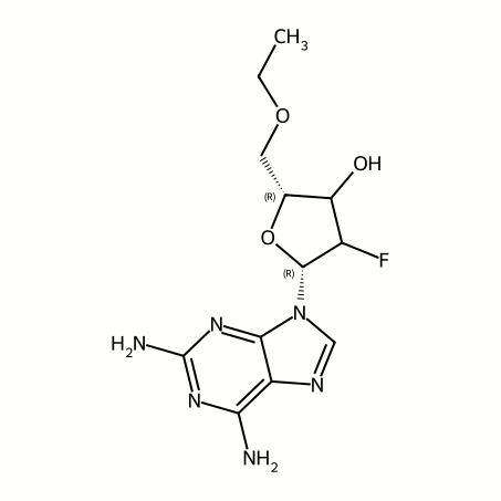 CCOC[C@H]1O[C@@H](n2cnc3c(N)nc(N)nc32)C(F)C1O